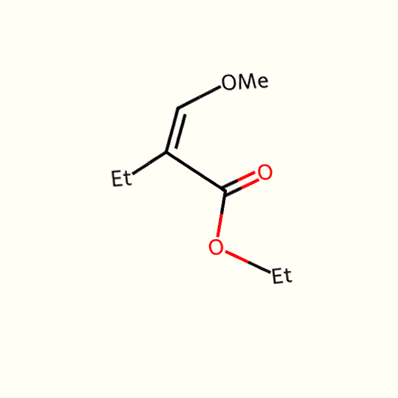 CCOC(=O)/C(=C\OC)CC